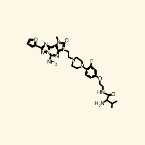 CC(C)C(N)C(=O)NCCOc1ccc(N2CCN(CCn3c(=O)n(C)c4c3nc(N)n3nc(-c5ccco5)nc43)CC2)c(F)c1